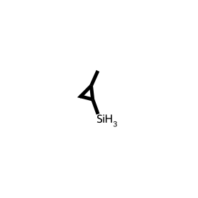 CC1CC1[SiH3]